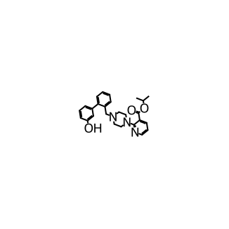 CC(C)OC(=O)c1cccnc1N1CCN(Cc2ccccc2-c2cccc(O)c2)CC1